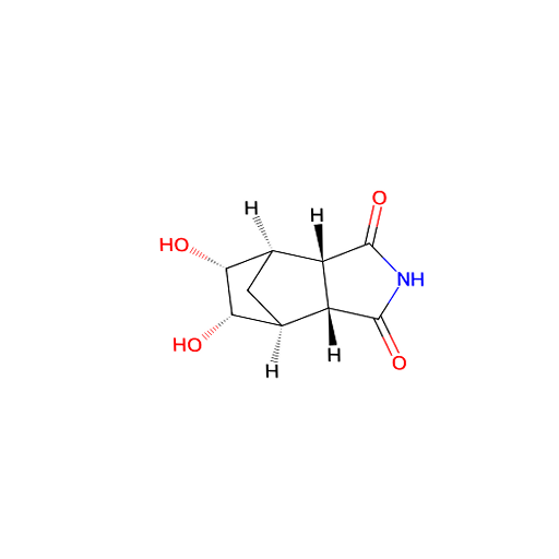 O=C1NC(=O)[C@H]2[C@H]3C[C@H]([C@H](O)[C@@H]3O)[C@@H]12